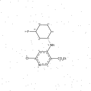 CCOC(=O)c1cnc(Cl)cc1N[C@H]1CCCC(F)C1